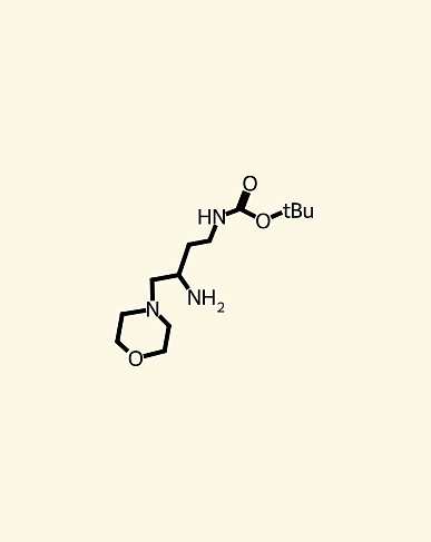 CC(C)(C)OC(=O)NCCC(N)CN1CCOCC1